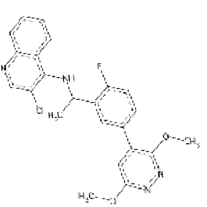 COc1cc(-c2ccc(F)c(C(C)Nc3c(Cl)cnc4ccccc34)c2)c(OC)nn1